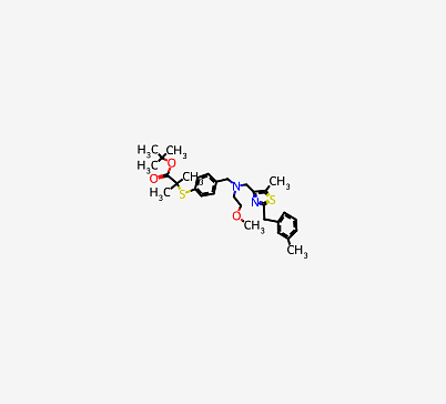 COCCN(Cc1ccc(SC(C)(C)C(=O)OC(C)(C)C)cc1)Cc1nc(Cc2cccc(C)c2)sc1C